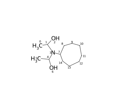 CC(O)N(C(C)O)C1CCCCCCC1